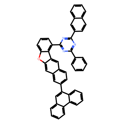 c1ccc(-c2nc(-c3ccc4ccccc4c3)nc(-c3cccc4oc5cc6cc(-c7cc8ccccc8c8ccccc78)ccc6cc5c34)n2)cc1